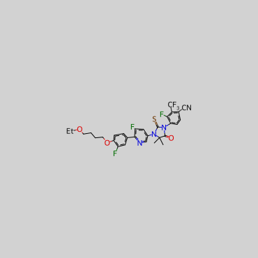 CCOCCCCOc1ccc(-c2ncc(N3C(=S)N(c4ccc(C#N)c(C(F)(F)F)c4F)C(=O)C3(C)C)cc2F)cc1F